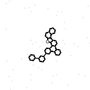 c1ccc(-c2cccc(-c3ccc4c(c3)c3ccccc3c3ccc5c(oc6ccc7ccccc7c65)c34)c2)cc1